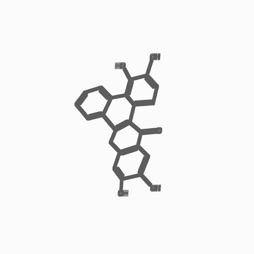 O=C1c2cc(O)c(O)cc2Cc2c1c1ccc(O)c(O)c1c1ccccc21